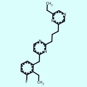 CCc1cncc(CCCc2nccc(Cc3cccc(F)c3CC)n2)n1